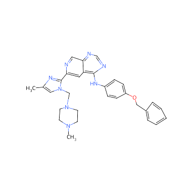 Cc1cn(CN2CCN(C)CC2)c(-c2cc3c(Nc4ccc(OCc5ccccc5)cc4)ncnc3cn2)n1